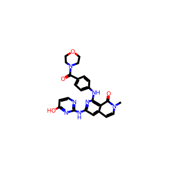 Cn1ccc2cc(Nc3nccc(O)n3)nc(Nc3ccc(C(=O)N4CCOCC4)cc3)c2c1=O